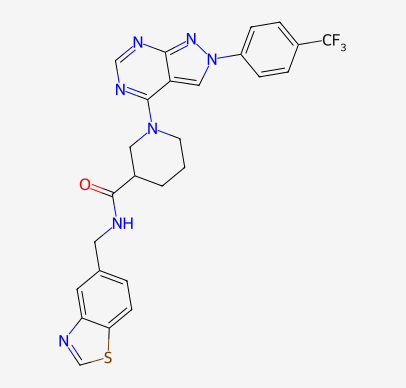 O=C(NCc1ccc2scnc2c1)C1CCCN(c2ncnc3nn(-c4ccc(C(F)(F)F)cc4)cc23)C1